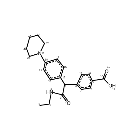 CCNC(=O)C(c1ccc(C(=O)O)cc1)c1ccc(N2CCCCC2)cc1